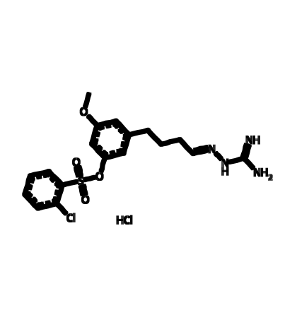 COc1cc(CCCC=NNC(=N)N)cc(OS(=O)(=O)c2ccccc2Cl)c1.Cl